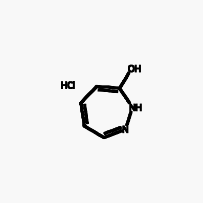 Cl.OC1=CC=CC=NN1